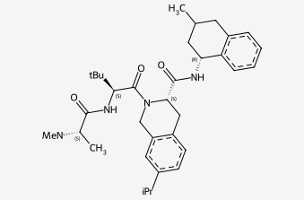 CN[C@@H](C)C(=O)N[C@H](C(=O)N1Cc2cc(C(C)C)ccc2C[C@H]1C(=O)N[C@@H]1CC(C)Cc2ccccc21)C(C)(C)C